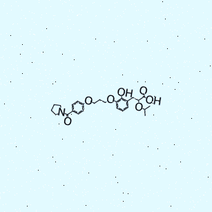 CC(C)OC(Cc1cccc(OCCCOc2ccc(C(=O)N3CCCC3)cc2)c1O)C(=O)O